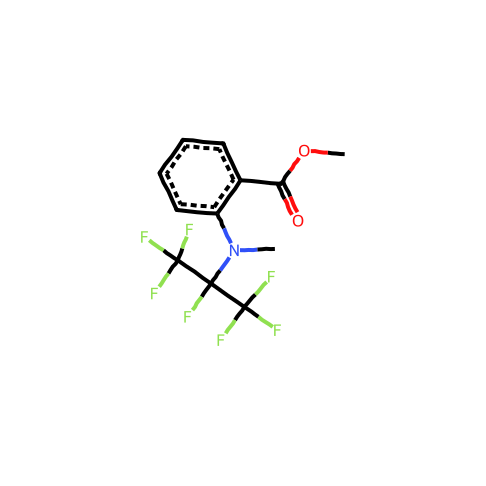 COC(=O)c1ccccc1N(C)C(F)(C(F)(F)F)C(F)(F)F